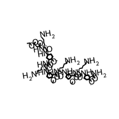 CCOC(=O)CC(=O)N[C@@H](CCCCN)C(=O)Nc1ccc(OC)c(C(=O)N[C@@H](CCCCN)C(=O)Nc2ccc(OC)c(C(=O)N[C@@H](CCCCN)C(=O)Nc3ccc(OC)c(C(=O)N[C@@H](CCCCN)C(=O)Nc4ccc(OC)c(C(N)=O)c4)c3)c2)c1